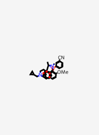 COc1ccc2c(c1Oc1cccc(C#N)c1)C13CCN(CC4CC4)C(C2)C1(C)CCC3C(C)N(C)Cc1ccccc1